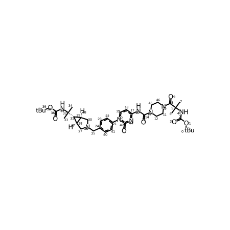 CC(C)(C)OC(=O)NC(C)(C)C(=O)N1CCN(C(=O)Nc2ccn(-c3ccc(CN4C[C@@H]5[C@H](C4)[C@H]5C(C)(C)NC(=O)OC(C)(C)C)cc3)c(=O)n2)CC1